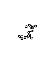 c1ccc(-c2cccc(-c3nc(-c4ccccc4)nc(-c4cccc(-c5cccc(-c6cc(-c7ccc(-c8cccc9c8oc8ccccc89)cc7)nc(-c7ccccc7)n6)c5)c4)n3)c2)cc1